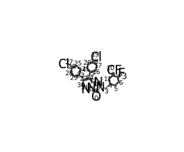 O=c1n(Cc2ccc(F)c(C(F)(F)F)c2)nc2c(-c3ccc(Cl)cc3)c(-c3ccc(Cl)cc3)cnn12